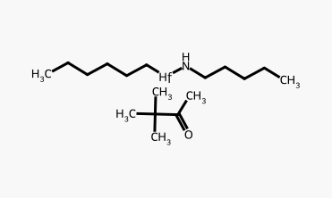 CC(=O)C(C)(C)C.CCCCC[CH2][Hf][NH]CCCCC